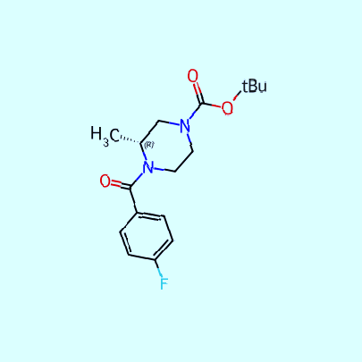 C[C@@H]1CN(C(=O)OC(C)(C)C)CCN1C(=O)c1ccc(F)cc1